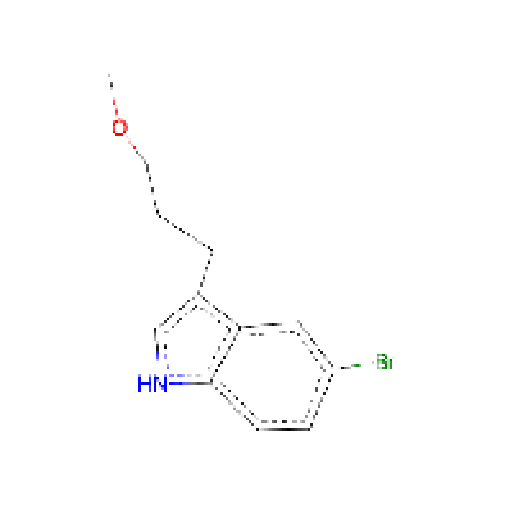 COCCCc1c[nH]c2ccc(Br)cc12